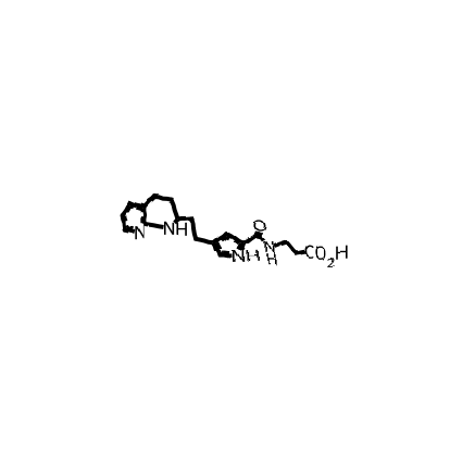 O=C(O)CCNC(=O)c1cc(CCC2CCc3cccnc3N2)c[nH]1